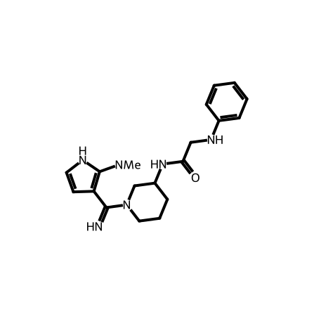 CNc1[nH]ccc1C(=N)N1CCCC(NC(=O)CNc2ccccc2)C1